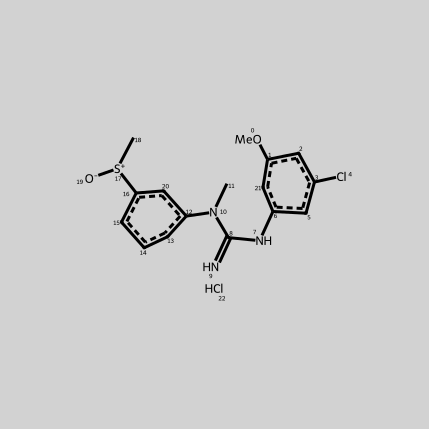 COc1cc(Cl)cc(NC(=N)N(C)c2cccc([S+](C)[O-])c2)c1.Cl